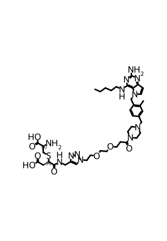 CCCCCNc1nc(N)nc2ccn(Cc3ccc(CN4CCN(C(=O)CCOCCOCCn5cc(CNC(=O)[C@@H](CC(=O)O)SC[C@H](N)C(=O)O)nn5)CC4)cc3C)c12